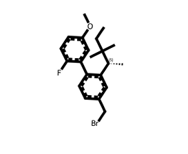 CCC(C)(C)[C@H](C)c1cc(CBr)ccc1-c1cc(OC)ccc1F